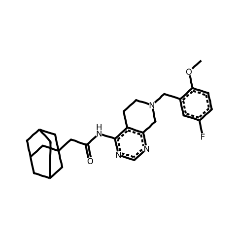 COc1ccc(F)cc1CN1CCc2c(ncnc2NC(=O)CC23CC4CC(CC(C4)C2)C3)C1